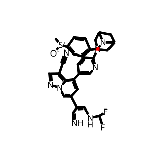 C[S+]([O-])c1ccc(CN2C3CC2CN(c2ccc(-c4cc(/C(C=N)=C/NC(F)F)cn5ncc(C#N)c45)cn2)C3)cc1